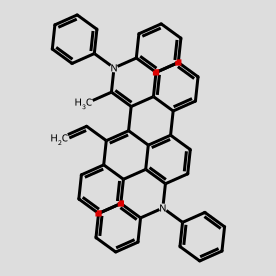 C=Cc1c2ccccc2c2c(N(c3ccccc3)c3ccccc3)ccc3c4ccccc4/c(=C(/C)N(c4ccccc4)c4ccccc4)c1c32